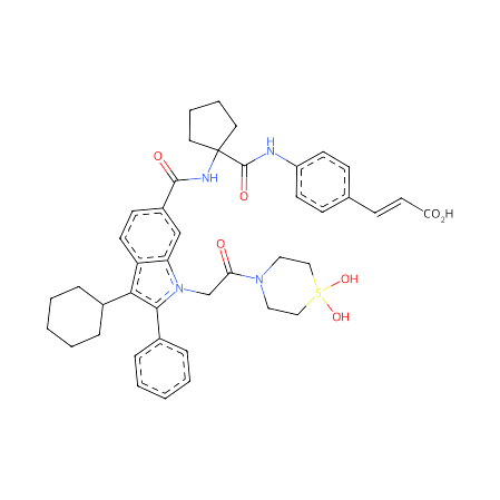 O=C(O)C=Cc1ccc(NC(=O)C2(NC(=O)c3ccc4c(C5CCCCC5)c(-c5ccccc5)n(CC(=O)N5CCS(O)(O)CC5)c4c3)CCCC2)cc1